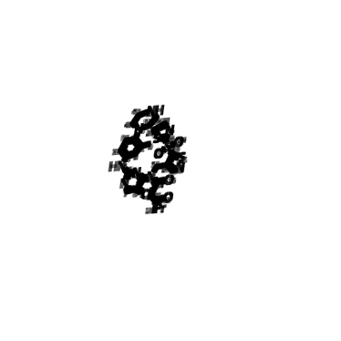 Cc1cc(Nc2ncc3cc(C(=O)C(C)C)c(=O)n(Cc4cnsc4S(=O)(=O)c4nccs4)c3n2)ccc1N1CCNCC1